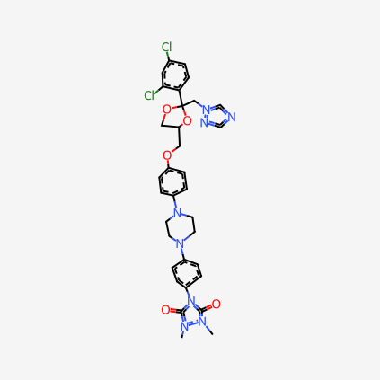 Cn1c(=O)n(-c2ccc(N3CCN(c4ccc(OCC5COC(Cn6cncn6)(c6ccc(Cl)cc6Cl)O5)cc4)CC3)cc2)c(=O)n1C